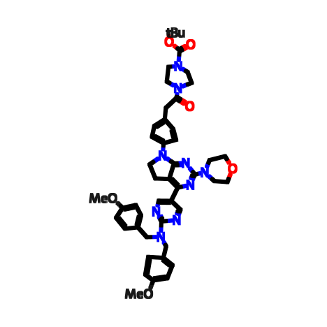 COc1ccc(CN(Cc2ccc(OC)cc2)c2ncc(-c3nc(N4CCOCC4)nc4c3CCN4c3ccc(CC(=O)N4CCN(C(=O)OC(C)(C)C)CC4)cc3)cn2)cc1